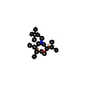 C1=CC(c2cc(-c3ccc4c(c3)c3cc(-c5cc(-c6ccccc6)cc6c5sc5c(-c7ccccc7)cc(-c7ccccc7)cc56)ccc3n4-c3cccc(-c4ccc5c(-c6ccccc6)c6ccccc6c(-c6ccccc6)c5c4)c3)c3sc4c(-c5ccccc5)cc(-c5ccccc5)cc4c3c2)=CCC1